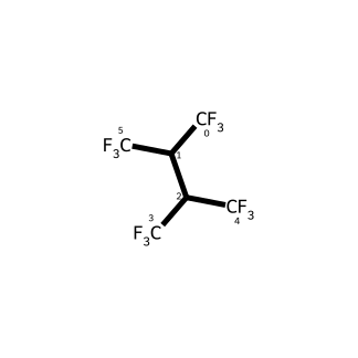 FC(F)(F)C(C(C(F)(F)F)C(F)(F)F)C(F)(F)F